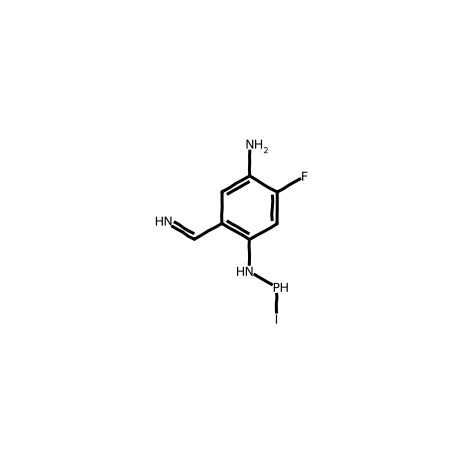 N=Cc1cc(N)c(F)cc1NPI